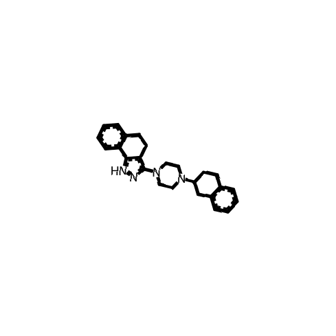 c1ccc2c(c1)CCC(N1CCN(c3n[nH]c4c3CCc3ccccc3-4)CC1)C2